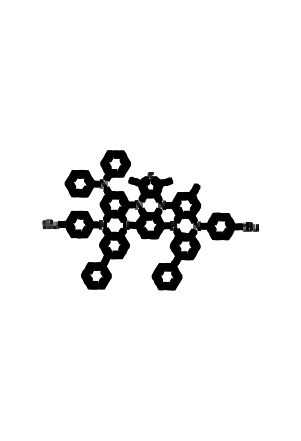 Cc1cc2c3c(c1)N1c4c(ccc5c4N(c4cc(N(c6ccccc6)c6ccccc6)cc6c4B5c4ccc(-c5ccccc5)cc4N6c4ccc(C(C)(C)C)cc4)c4c(C)sc(C)c41)B3c1cc(-c3ccccc3)ccc1N2c1ccc(C(C)(C)C)cc1